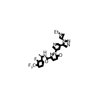 CCN1CC(n2nncc2-c2cncc(-n3nc(C(=O)N[C@H](C)c4cccc(C(F)(F)F)c4F)ccc3=O)c2)C1